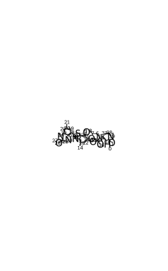 COc1cc(N(C[C@@H]2COc3c(cc(C)c4nc(-c5cc(C)cc6nc(OC)cnc56)sc34)O2)C(=O)O)ccn1